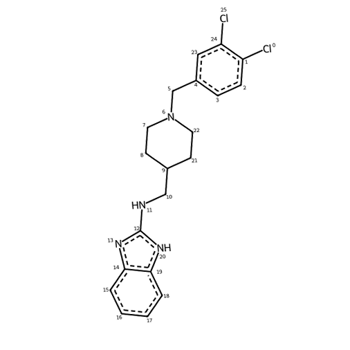 Clc1ccc(CN2CCC(CNc3nc4ccccc4[nH]3)CC2)cc1Cl